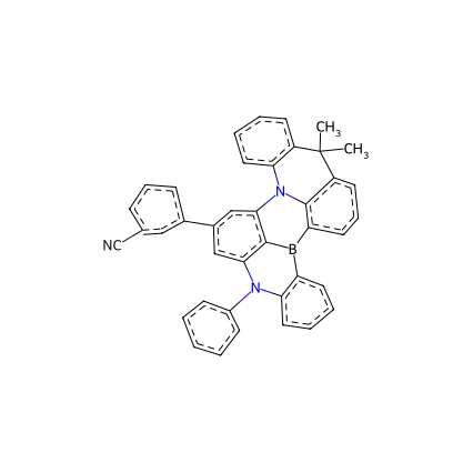 CC1(C)c2ccccc2N2c3cc(-c4cccc(C#N)c4)cc4c3B(c3ccccc3N4c3ccccc3)c3cccc1c32